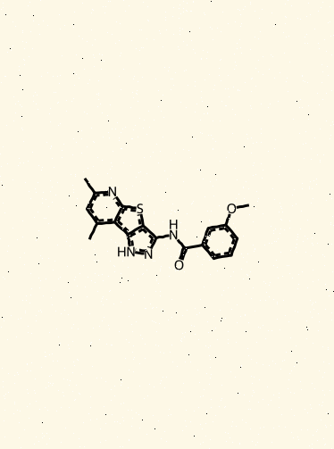 COc1cccc(C(=O)Nc2n[nH]c3c2sc2nc(C)cc(C)c23)c1